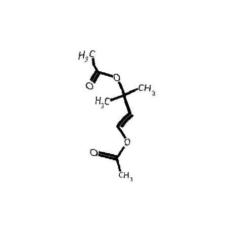 CC(=O)OC=CC(C)(C)OC(C)=O